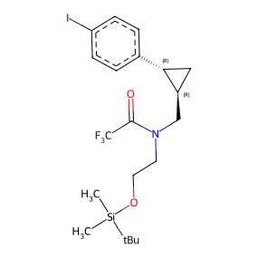 CC(C)(C)[Si](C)(C)OCCN(C[C@@H]1C[C@H]1c1ccc(I)cc1)C(=O)C(F)(F)F